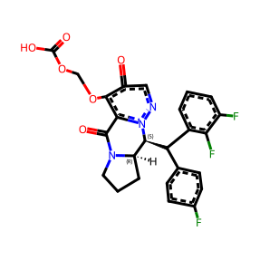 O=C(O)OCOc1c2n(ncc1=O)[C@@H](C(c1ccc(F)cc1)c1cccc(F)c1F)[C@H]1CCCN1C2=O